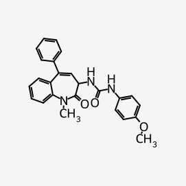 COc1ccc(NC(=O)NC2C=C(c3ccccc3)c3ccccc3N(C)C2=O)cc1